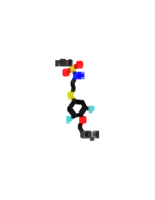 CCCCCCCCS(=O)(=O)NCCSc1cc(F)c(OCC(=O)O)c(F)c1